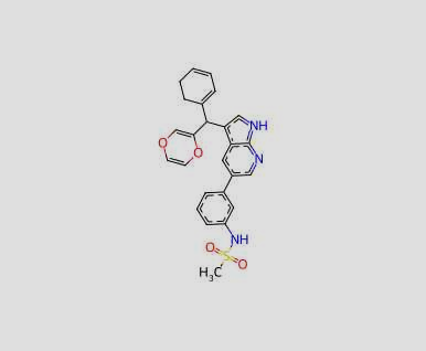 CS(=O)(=O)Nc1cccc(-c2cnc3[nH]cc(C(C4=CC=CCC4)C4=COC=CO4)c3c2)c1